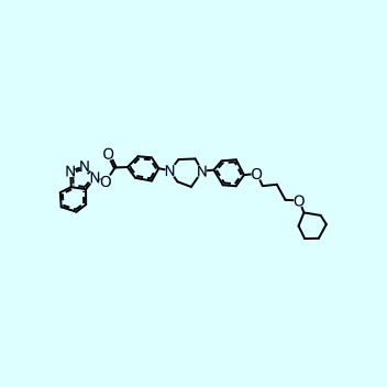 O=C(On1nnc2ccccc21)c1ccc(N2CCN(c3ccc(OCCCOC4CCCCC4)cc3)CC2)cc1